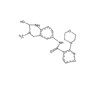 CN1Cc2cc(NC(=O)c3cccnc3N3CCOCC3)ccc2NC1O